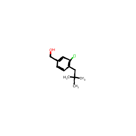 CC(C)(C)Cc1ccc(CO)cc1Cl